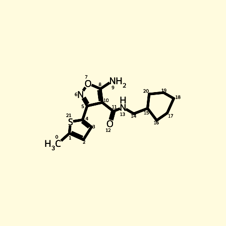 Cc1ccc(-c2noc(N)c2C(=O)NCC2CCCCC2)s1